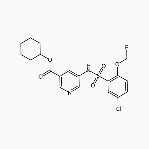 O=C(OC1CCCCC1)c1cncc(NS(=O)(=O)c2cc(Cl)ccc2OCF)c1